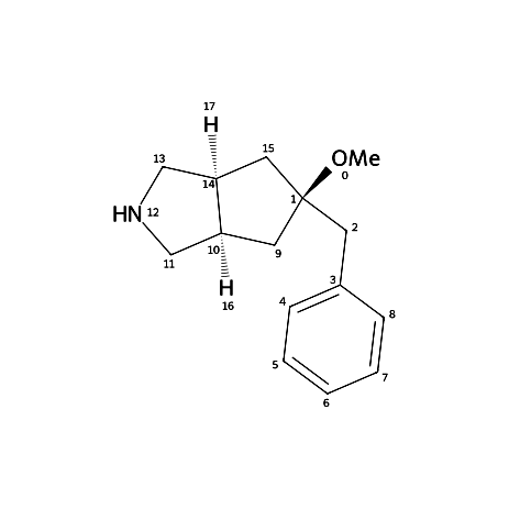 CO[C@@]1(Cc2ccccc2)C[C@H]2CNC[C@H]2C1